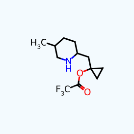 CC1CCC(CC2(OC(=O)C(F)(F)F)CC2)NC1